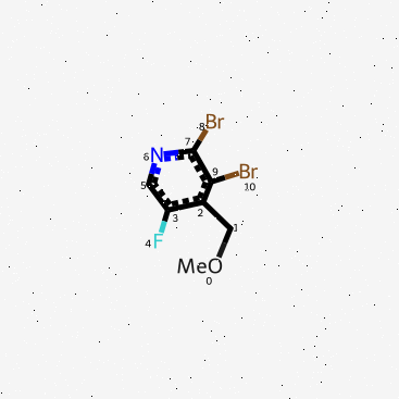 COCc1c(F)cnc(Br)c1Br